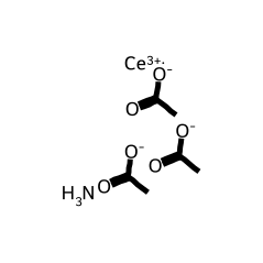 CC(=O)[O-].CC(=O)[O-].CC(=O)[O-].N.[Ce+3]